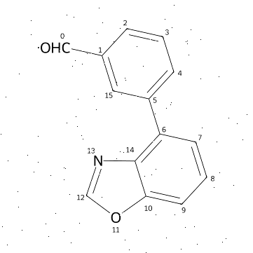 O=[C]c1cccc(-c2cccc3ocnc23)c1